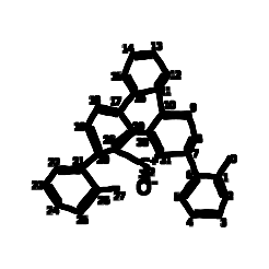 Cc1ccccc1-c1ccc2c3ccccc3c3ccc(-c4ccccc4C)c4c3c2c1[s+]4[O-]